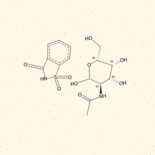 CC(=O)N[C@H]1C(O)O[C@H](CO)[C@H](O)[C@@H]1O.O=C1NS(=O)(=O)c2ccccc21